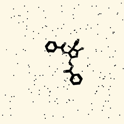 C[C@@]1(C#N)[C@H](OC(=O)c2ccccc2)[C@@H](COC(=O)c2ccccc2)O[C@@H]1Br